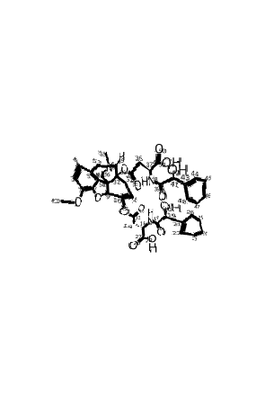 COc1ccc2c3c1OC1C(OC(=O)C[C@H](NC(=O)[C@@H](O)c4ccccc4)C(=O)O)=CC[C@@]4(OC(=O)C[C@H](NC(=O)[C@H](O)c5ccccc5)C(=O)O)[C@@H](C2)N(C)CCC314